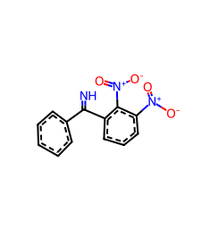 N=C(c1ccccc1)c1cccc([N+](=O)[O-])c1[N+](=O)[O-]